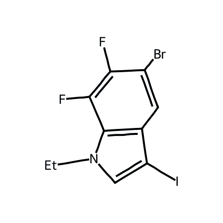 CCn1cc(I)c2cc(Br)c(F)c(F)c21